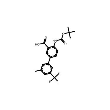 Cc1cc(-c2ccc(NC(=O)OC(C)(C)C)c(C(=O)O)c2)cc(C(F)(F)F)c1